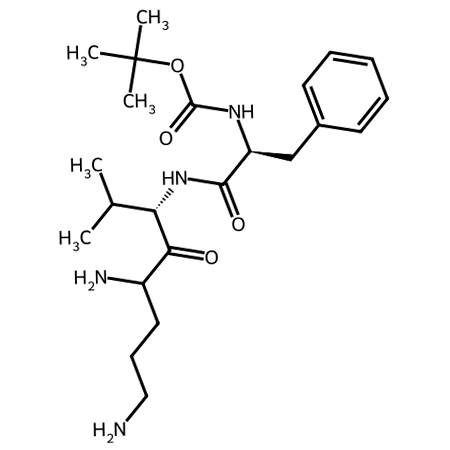 CC(C)[C@H](NC(=O)[C@H](Cc1ccccc1)NC(=O)OC(C)(C)C)C(=O)C(N)CCCN